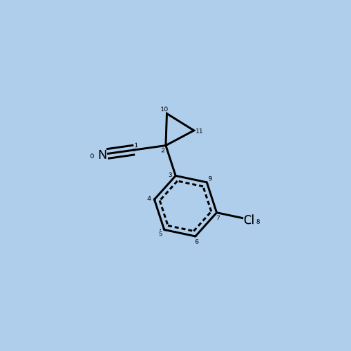 N#CC1(c2c[c]cc(Cl)c2)CC1